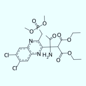 CCOC(=O)C(C(=O)OCC)C(N)(C(C)=O)c1nc2cc(Cl)c(Cl)cc2nc1CP(=O)(OC)OC